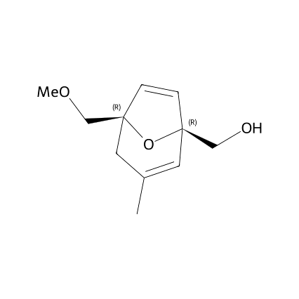 COC[C@]12C=C[C@](CO)(C=C(C)C1)O2